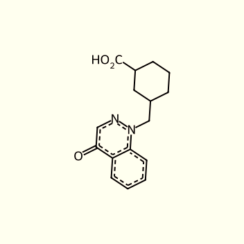 O=C(O)C1CCCC(Cn2ncc(=O)c3ccccc32)C1